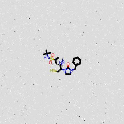 C=C(C[C@@H](NC)C(CS)N1CCN(Cc2ccccc2)C1=O)S(=O)(=O)NC(C)(C)C